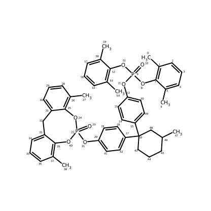 Cc1cccc(C)c1OP(=O)(Oc1ccc(C2(c3ccc(OP4(=O)Oc5c(C)cccc5Cc5cccc(C)c5O4)cc3)CCCC(C)C2)cc1)Oc1c(C)cccc1C